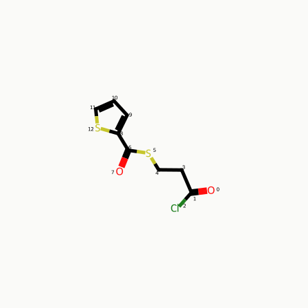 O=C(Cl)CCSC(=O)c1cccs1